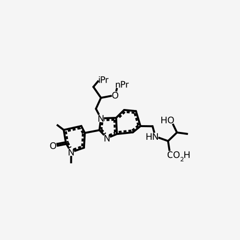 CCCOC(CC(C)C)Cn1c(-c2cc(C)c(=O)n(C)c2)nc2cc(CNC(C(=O)O)C(C)O)ccc21